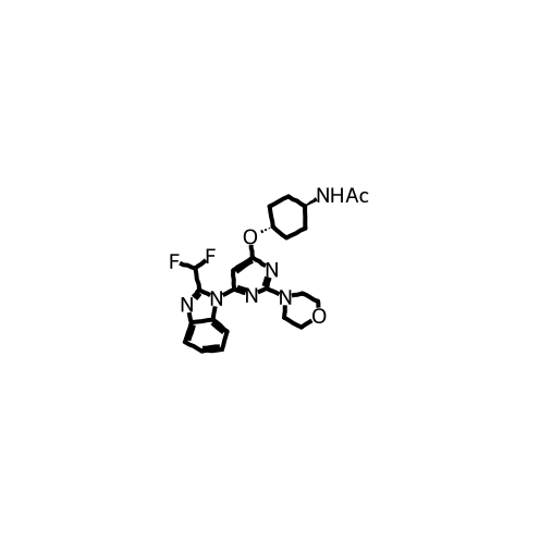 CC(=O)N[C@H]1CC[C@H](Oc2cc(-n3c(C(F)F)nc4ccccc43)nc(N3CCOCC3)n2)CC1